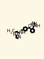 Cc1cc(NCc2ccc(C(=O)c3ccccc3-c3nnn[nH]3)cc2)n2nccc2n1